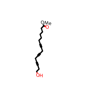 COC(=O)CCCCCC#CCC#CCC#CCCO